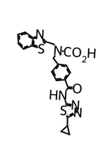 O=C(Nc1nnc(C2CC2)s1)c1ccc(CN(Cc2nc3ccccc3s2)C(=O)O)cc1